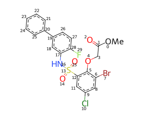 COC(=O)COc1c(Br)cc(Cl)cc1S(=O)(=O)Nc1cc(-c2ccccc2)ccc1F